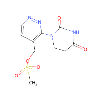 CS(=O)(=O)OCc1ccnnc1N1CCC(=O)NC1=O